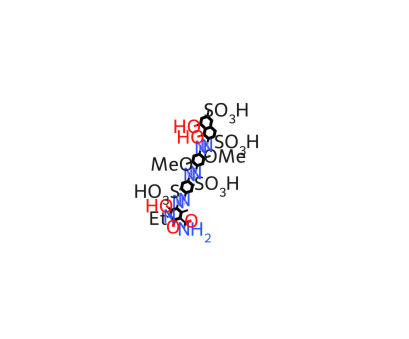 CCn1c(O)c(/N=N/c2cc(S(=O)(=O)O)c(/N=N/c3cc(OC)c(/N=N/c4c(S(=O)(=O)O)cc5cc(S(=O)(=O)O)cc(O)c5c4O)cc3OC)cc2S(=O)(=O)O)c(C)c(C(N)=O)c1=O